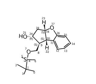 CC(C)(C)[Si](C)(C)OC[C@@H]1[C@H]2c3ccccc3O[C@H]2C[C@H]1O